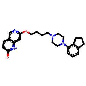 O=c1ccc2cnc(OCCCCN3CCN(c4cccc5c4CCC5)CC3)cc2[nH]1